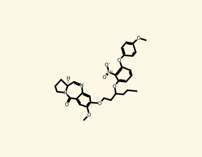 CCCC(CCOc1cc2c(cc1OC)C(=O)N1CCC[C@H]1C=N2)Oc1cccc(Oc2ccc(OC)cc2)c1[N+](=O)[O-]